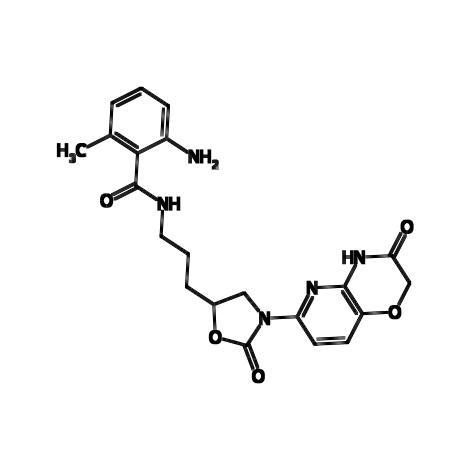 Cc1cccc(N)c1C(=O)NCCCC1CN(c2ccc3c(n2)NC(=O)CO3)C(=O)O1